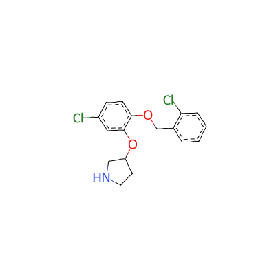 Clc1ccc(OCc2ccccc2Cl)c(OC2CCNC2)c1